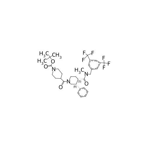 CN(Cc1cc(C(F)(F)F)cc(C(F)(F)F)c1)C(=O)[C@H]1CCN(C(=O)C2CCN(C(=O)OC(C)(C)C)CC2)C[C@H]1c1ccccc1